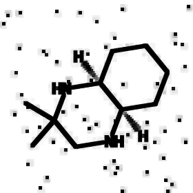 CC1(C)CN[C@@H]2CCCC[C@@H]2N1